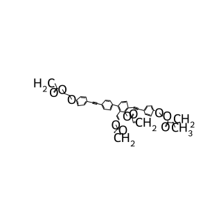 C=CC(=O)O/C=C/c1c(-c2ccc(C#Cc3ccc(OCCOC(=O)C=C)cc3)cc2)ccc(C#Cc2ccc(OCOC(=O)C(=C)C)cc2)c1OC(=O)C=C